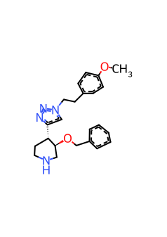 COc1ccc(CCn2cc([C@H]3CCNC[C@@H]3OCc3ccccc3)nn2)cc1